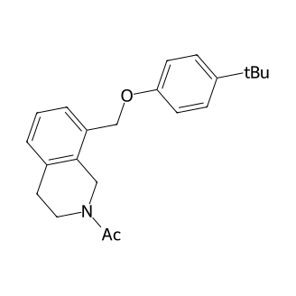 CC(=O)N1CCc2cccc(COc3ccc(C(C)(C)C)cc3)c2C1